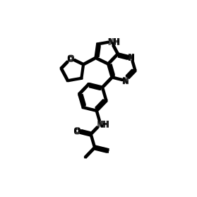 C=C(C)C(=O)Nc1cccc(-c2ncnc3[nH]cc(C4CCCO4)c23)c1